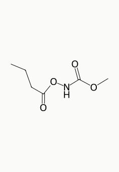 CCCC(=O)ONC(=O)OC